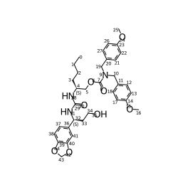 CCCC[C@@H](COC(=O)N(Cc1ccc(OC)cc1)Cc1ccc(OC)cc1)NC(=O)N[C@@H](CCO)c1ccc2c(c1)OCO2